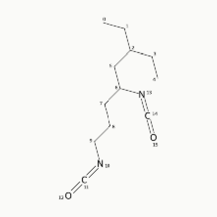 CCC(CC)CC(CCCN=C=O)N=C=O